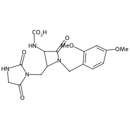 COc1ccc(CN2C(=O)C(NC(=O)O)C2CN2C(=O)CNC2=O)c(OC)c1